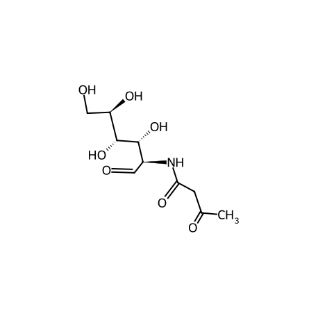 CC(=O)CC(=O)N[C@@H](C=O)[C@@H](O)[C@H](O)[C@H](O)CO